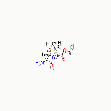 CC1(C)S[C@@H]2C(N)C(=O)N2[C@H]1C(=O)OCCl